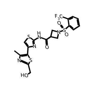 Cc1nc(CO)sc1-c1csc(NC(=O)C2CN(S(=O)(=O)c3ccccc3C(F)(F)F)C2)n1